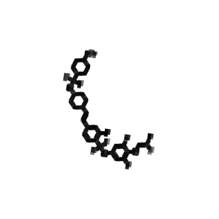 CCCC1CCC(C(F)(F)OC2CCC(/C=C/c3ccc(C(F)(F)Oc4cc(F)c(OC=C(F)F)c(F)c4)c(F)c3)CC2)CC1